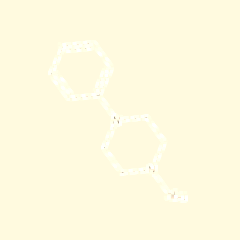 CCCCN1CCN(c2cc[c]cc2)CC1